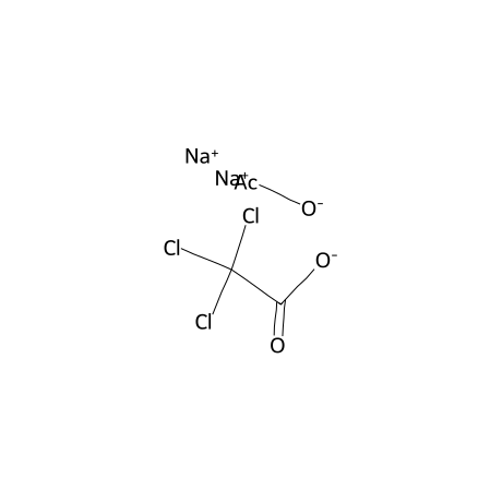 CC(=O)[O-].O=C([O-])C(Cl)(Cl)Cl.[Na+].[Na+]